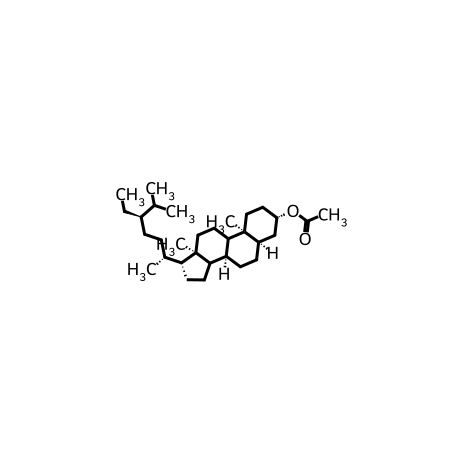 CC[C@H](CC[C@@H](C)[C@H]1CCC2[C@@H]3CC[C@@H]4C[C@@H](OC(C)=O)CC[C@]4(C)C3CC[C@@]21C)C(C)C